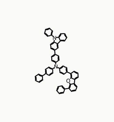 c1ccc(-c2ccc(N(c3ccc(-c4ccc5c(c4)c4ccccc4n5-c4ccccc4)cc3)c3ccc(-c4cccc5c4oc4c(-c6ccccc6)cccc45)cc3)cc2)cc1